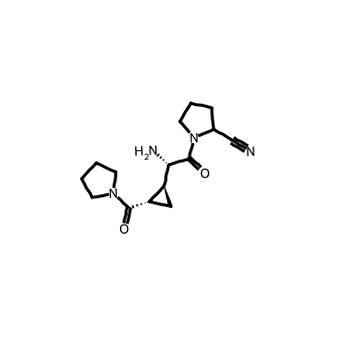 N#CC1CCCN1C(=O)[C@@H](N)[C@H]1C[C@@H]1C(=O)N1CCCC1